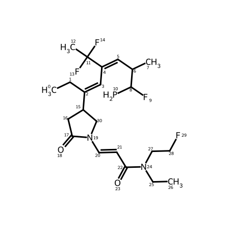 CC/C(=C\C(=C/C(C)C(F)P)C(C)(F)F)C1CC(=O)N(/C=C/C(=O)N(CC)CCF)C1